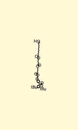 CC(C)(C)c1cc2c(c(C(C)(C)C)c1)OC(=O)C2c1ccc(OCCOC(=O)CCCCCOC(=O)CCCCCOC(=O)CCCCCCCCCCCO)cc1